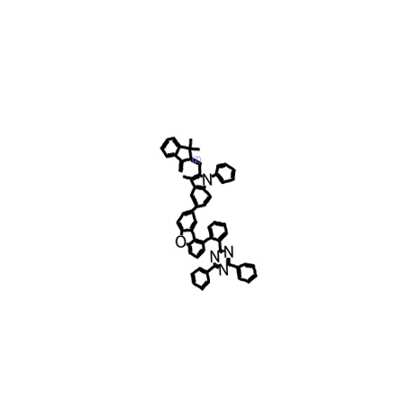 C=C1/C(=C\c2c(C)c3cc(-c4ccc5oc6cccc(-c7ccccc7-c7nc(-c8ccccc8)nc(-c8ccccc8)n7)c6c5c4)ccc3n2-c2ccccc2)C(C)(C)c2ccccc21